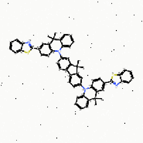 CC1(C)c2cc(N3c4ccccc4C(C)(C)c4cc(-c5nc6ccccc6s5)ccc43)ccc2-c2ccc(N3c4ccccc4C(C)(C)c4cc(-c5nc6ccccc6s5)ccc43)cc21